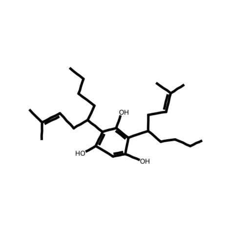 CCCCC(CC=C(C)C)c1c(O)cc(O)c(C(CC=C(C)C)CCCC)c1O